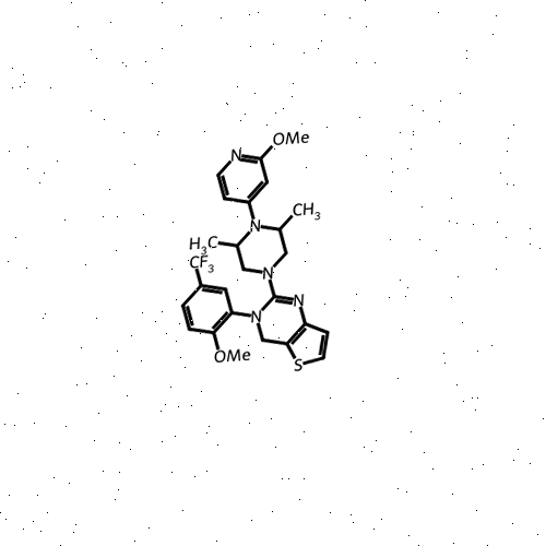 COc1cc(N2C(C)CN(C3=Nc4ccsc4CN3c3cc(C(F)(F)F)ccc3OC)CC2C)ccn1